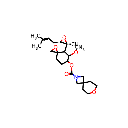 COC1C(OC(=O)N2CC3(CCOCC3)C2)CCC2(CO2)C1[C@@]1(C)O[C@@H]1CC=C(C)C